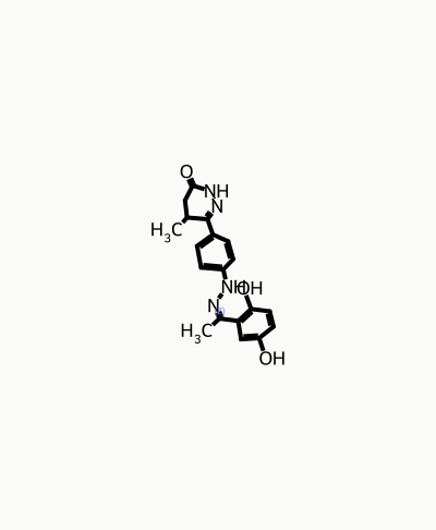 C/C(=N/Nc1ccc(C2=NNC(=O)CC2C)cc1)c1cc(O)ccc1O